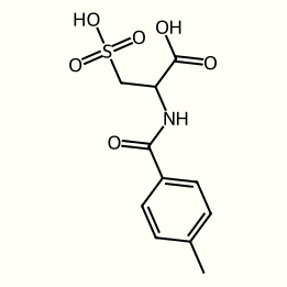 Cc1ccc(C(=O)NC(CS(=O)(=O)O)C(=O)O)cc1